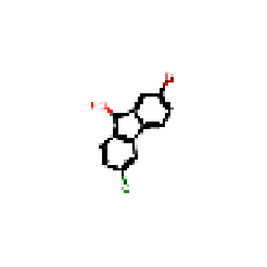 OC1c2ccc(Cl)cc2-c2ccc(Br)cc21